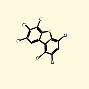 Clc1cc2c(oc3c(Cl)cc(Cl)c(Cl)c32)c(Cl)c1Cl